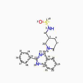 C[S+]([O-])NCC1CCCN(c2nc(-c3ccccc3)nc3ccccc23)C1